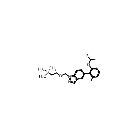 C[Si](C)(C)CCOCn1ncc2cc(-c3c(F)cccc3OC(F)F)ccc21